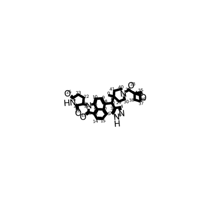 CC1(C(c2cn[nH]c2)c2ccc3c4c(cccc24)C(=O)N3C2CCC(=O)NC2=O)CCN(C(=O)C23COC(C2)C3)CC1